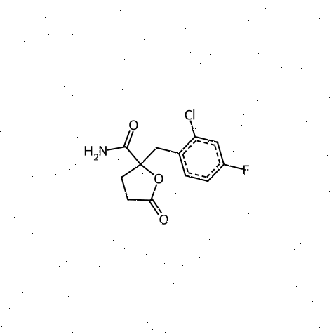 NC(=O)C1(Cc2ccc(F)cc2Cl)CCC(=O)O1